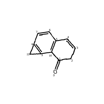 O=C1CC=Cc2ccc3c(c21)C3